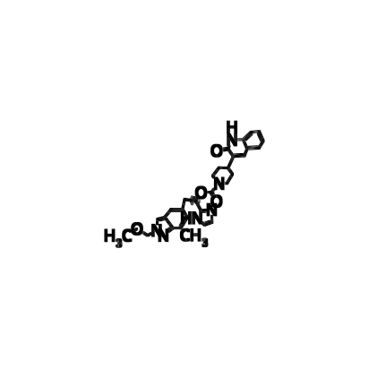 COCn1cc2cc(C[C@@H](OC(=O)N3CCC(c4cc5ccccc5[nH]c4=O)CC3)c3ncc[nH]3)cc(C)c2n1